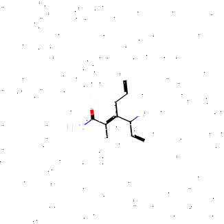 C=CCC(=C(C)C(N)=O)C(N)C=C